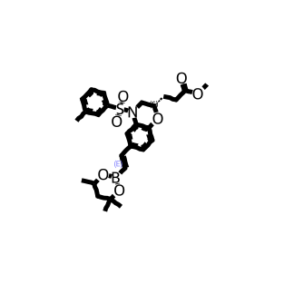 COC(=O)CC[C@H]1CN(S(=O)(=O)c2cccc(C)c2)c2cc(/C=C/B3OC(C)CC(C)(C)O3)ccc2O1